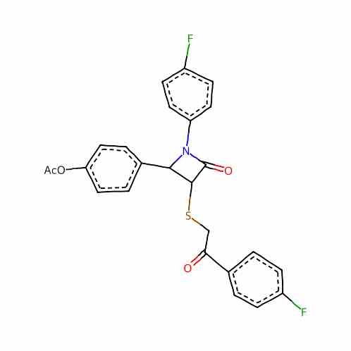 CC(=O)Oc1ccc(C2C(SCC(=O)c3ccc(F)cc3)C(=O)N2c2ccc(F)cc2)cc1